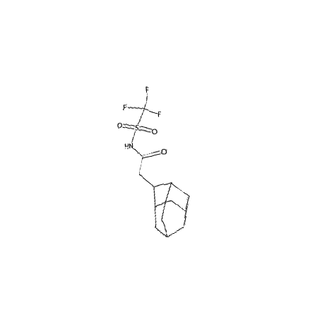 O=C(CC1C2CC3CC(C2)CC1C3)NS(=O)(=O)C(F)(F)F